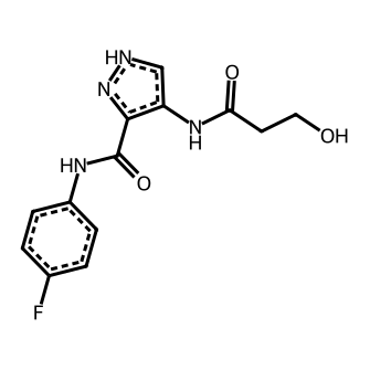 O=C(CCO)Nc1c[nH]nc1C(=O)Nc1ccc(F)cc1